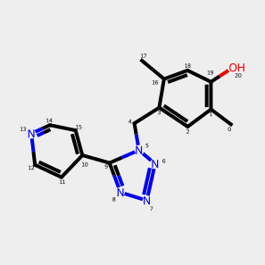 Cc1cc(Cn2nnnc2-c2ccncc2)c(C)cc1O